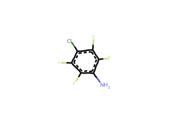 Nc1c(F)c(F)c(Cl)c(F)c1F